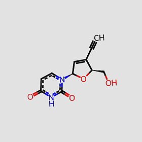 C#CC1=C[C@H](n2ccc(=O)[nH]c2=O)O[C@@H]1CO